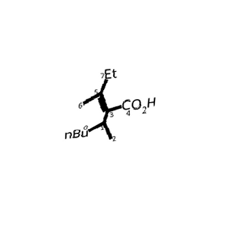 CCCCC(C)C(C(=O)O)=C(C)CC